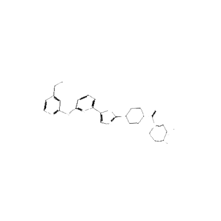 O=C([C@H]1CC[C@H](c2ncc(-c3cccc(Nc4cc(CI)ccn4)n3)s2)CC1)N1CC[C@H](O)[C@@H](O)C1